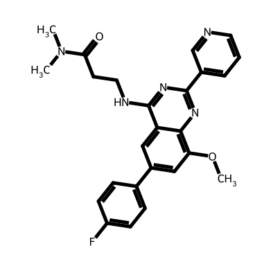 COc1cc(-c2ccc(F)cc2)cc2c(NCCC(=O)N(C)C)nc(-c3cccnc3)nc12